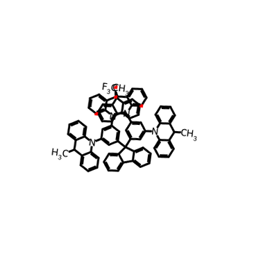 CC1c2ccccc2N(c2cc(N3c4ccccc4C(C)c4ccccc43)cc(C3(c4cc(N5c6ccccc6C(C)c6ccccc65)cc(N5c6ccccc6C(C(F)(F)F)c6ccccc65)c4)c4ccccc4-c4ccccc43)c2)c2ccccc21